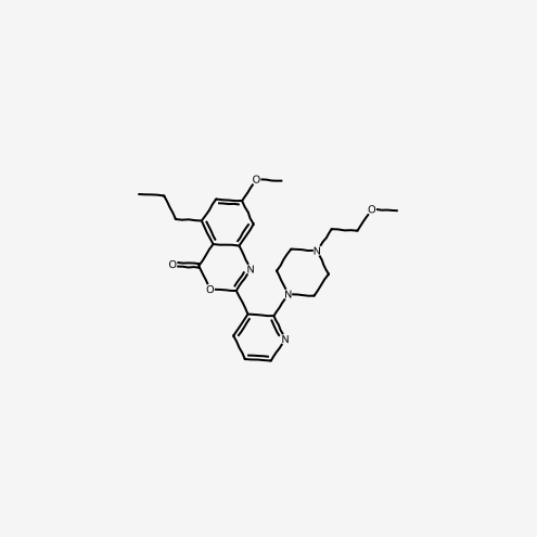 CCCc1cc(OC)cc2nc(-c3cccnc3N3CCN(CCOC)CC3)oc(=O)c12